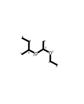 C[CH]OC(C)OC(C)CC